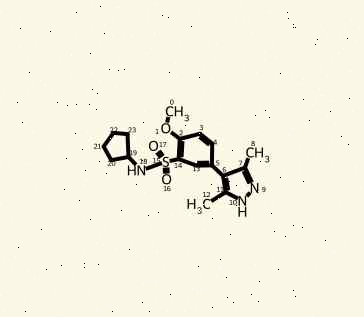 COc1ccc(-c2c(C)n[nH]c2C)cc1S(=O)(=O)NC1CCCC1